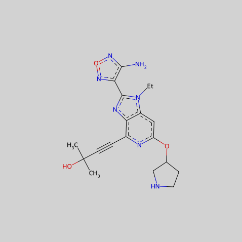 CCn1c(-c2nonc2N)nc2c(C#CC(C)(C)O)nc(OC3CCNC3)cc21